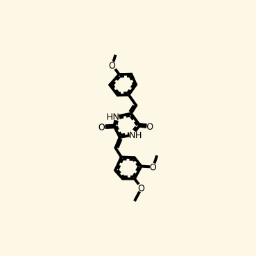 COc1ccc(C=c2[nH]c(=O)c(=Cc3ccc(OC)c(OC)c3)[nH]c2=O)cc1